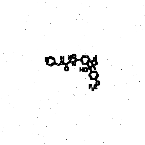 CN1CC(C)([C@](O)(c2ccc(OC(F)(F)F)cc2)c2cccc(-c3nc(C(=O)NCc4ccncc4)no3)c2)C1